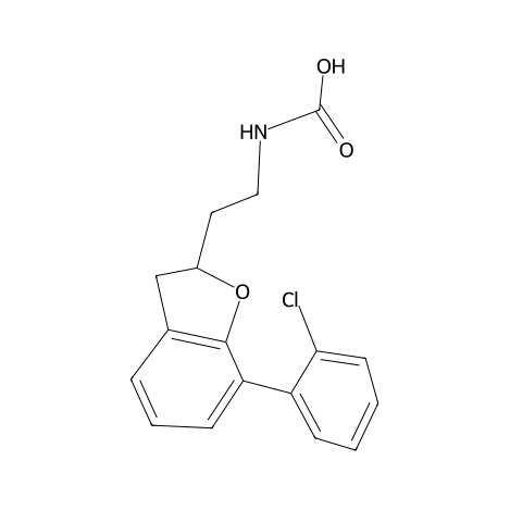 O=C(O)NCCC1Cc2cccc(-c3ccccc3Cl)c2O1